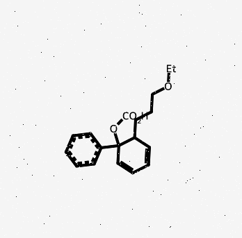 CCOCCCC1C=CC=CC1(OC(=O)O)c1ccccc1